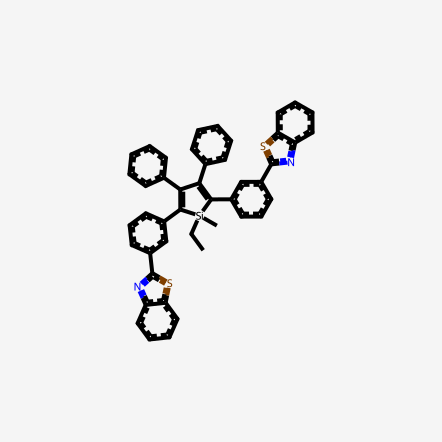 CC[Si]1(C)C(c2cccc(-c3nc4ccccc4s3)c2)=C(c2ccccc2)C(c2ccccc2)=C1c1cccc(-c2nc3ccccc3s2)c1